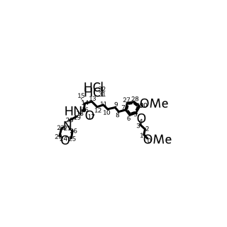 COCCCOc1cc(CCCCCC[C@@H](C)C(=O)NCCN2CCOCC2)ccc1OC.Cl.Cl